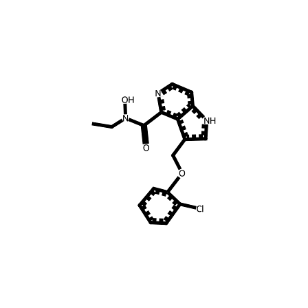 CCN(O)C(=O)c1nccc2[nH]cc(COc3ccccc3Cl)c12